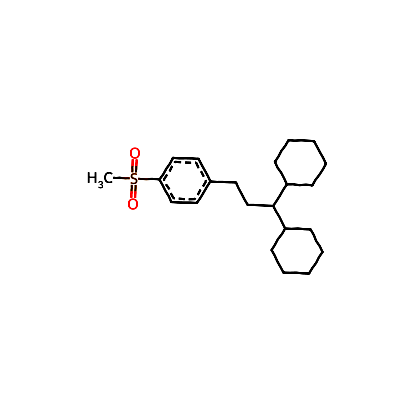 CS(=O)(=O)c1ccc(CCC(C2CCCCC2)C2CCCCC2)cc1